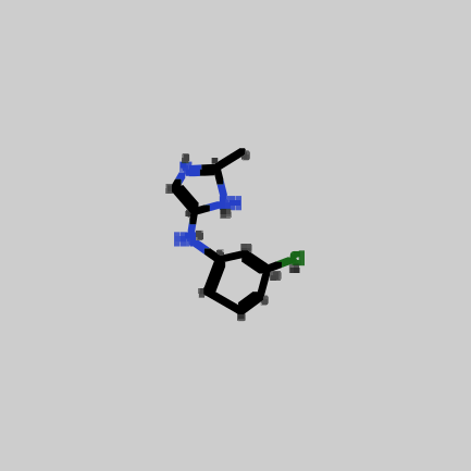 Cc1ncc(Nc2cccc(Cl)c2)[nH]1